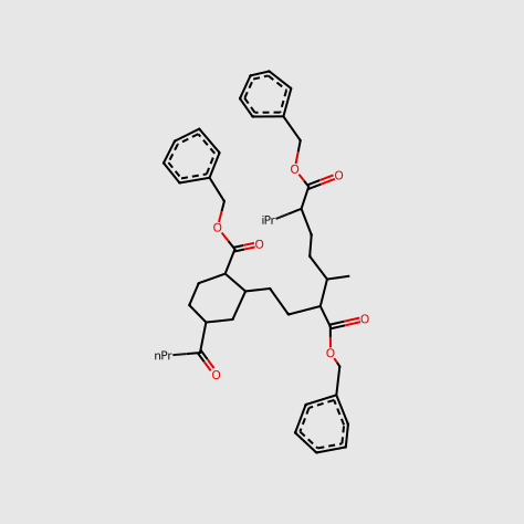 CCCC(=O)C1CCC(C(=O)OCc2ccccc2)C(CCC(C(=O)OCc2ccccc2)C(C)CCC(C(=O)OCc2ccccc2)C(C)C)C1